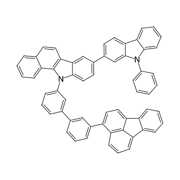 c1ccc(-n2c3ccccc3c3ccc(-c4ccc5c(c4)c4ccc6ccccc6c4n5-c4cccc(-c5cccc(-c6ccc7c8c(cccc68)-c6ccccc6-7)c5)c4)cc32)cc1